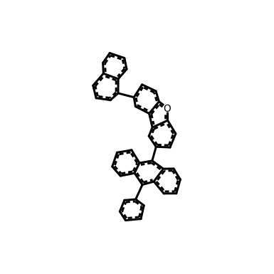 c1ccc(-c2c3ccccc3c(-c3ccc4oc5ccc(-c6cccc7ccccc67)cc5c4c3)c3ccccc23)cc1